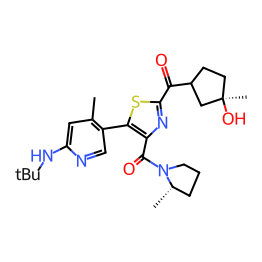 Cc1cc(NC(C)(C)C)ncc1-c1sc(C(=O)C2CC[C@@](C)(O)C2)nc1C(=O)N1CCC[C@@H]1C